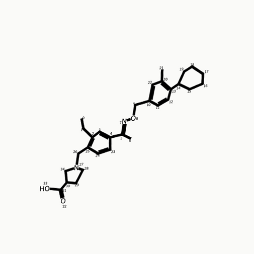 CCc1cc(C(C)=NOCc2ccc(C3CCCCC3)c(C)c2)ccc1CN1CCC(C(=O)O)C1